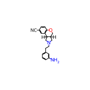 N#Cc1ccc2c(c1)[C@H]1CN(CCc3cccc(N)c3)C[C@@H]1CO2